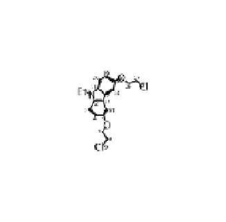 CCn1c2ccc(OCCCl)cc2c2cc(OCCCl)ccc21